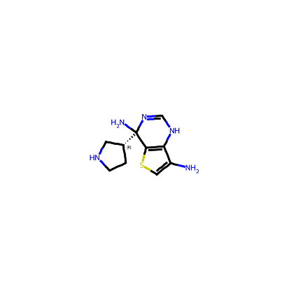 Nc1csc2c1NC=NC2(N)[C@@H]1CCNC1